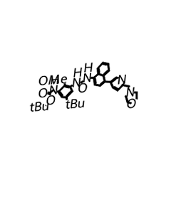 COc1c(NC(=O)Nc2ccc(-c3ccc(CN4CCOCC4)nc3)c3ccccc23)cc(C(C)(C)C)cc1NC(=O)OC(C)(C)C